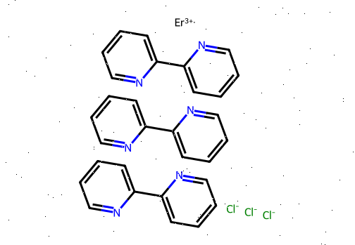 [Cl-].[Cl-].[Cl-].[Er+3].c1ccc(-c2ccccn2)nc1.c1ccc(-c2ccccn2)nc1.c1ccc(-c2ccccn2)nc1